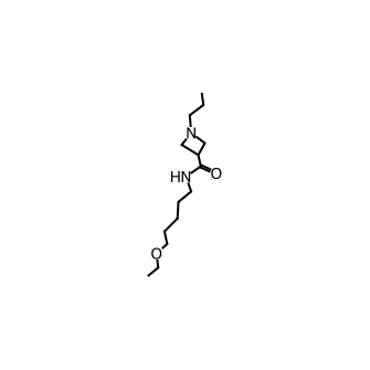 CCCN1CC(C(=O)NCCCCCOCC)C1